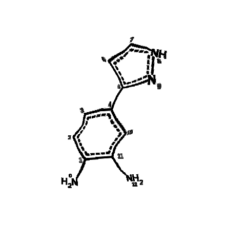 Nc1ccc(-c2cc[nH]n2)cc1N